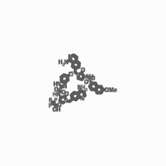 COc1ccc2ccc(S(=O)(=O)N[C@@H]3CCN(Cc4ccc5ccnc(N)c5c4)C3=O)cc2c1.Nc1ccnc2cc(CN3CC[C@@H](NS(=O)(=O)c4nc5cc(Cl)ccc5[nH]4)C3=O)ccc12.O=C(O)C(F)(F)F